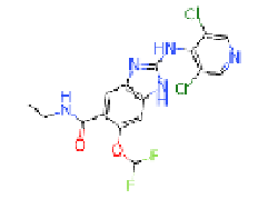 CCNC(=O)c1cc2nc(Nc3c(Cl)cncc3Cl)[nH]c2cc1OC(F)F